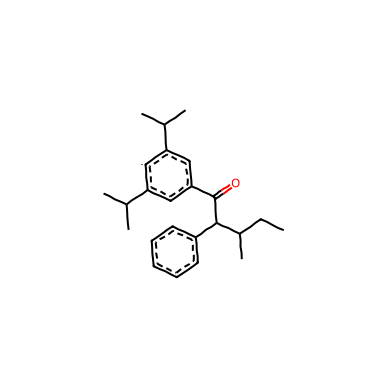 CCC(C)C(C(=O)c1cc(C(C)C)[c]c(C(C)C)c1)c1ccccc1